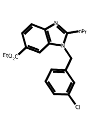 CCCc1nc2ccc(C(=O)OCC)cc2n1Cc1cccc(Cl)c1